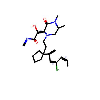 C=NC(=O)/C(O)=C1/C(=O)N(C)C(C)CN1CCC1(C(=C)/C=C(Br)\C=C/C)CCCC1